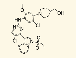 CCS(=O)(=O)n1cc(-c2nc(Nc3cc(Cl)c(N4CCC(CO)CC4)cc3OC)ncc2Cl)c2ccccc21